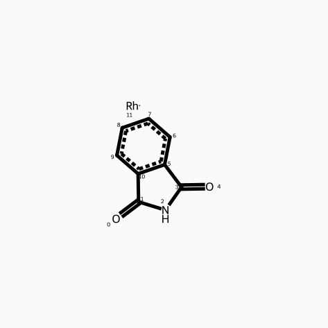 O=C1NC(=O)c2ccccc21.[Rh]